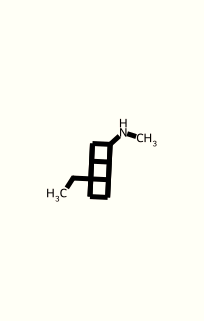 CCC12C3C4C1C1C2C3C41NC